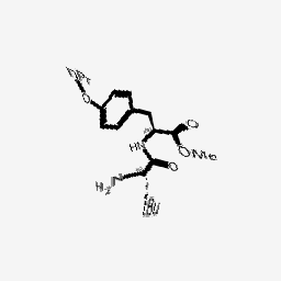 CCCOc1ccc(C[C@H](NC(=O)[C@@H](N)C(C)(C)C)C(=O)OC)cc1